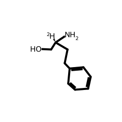 [2H][C@@](N)(CO)CCc1ccccc1